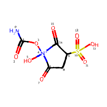 NC(=O)O[N+]1(O)C(=O)CC(S(=O)(=O)O)C1=O